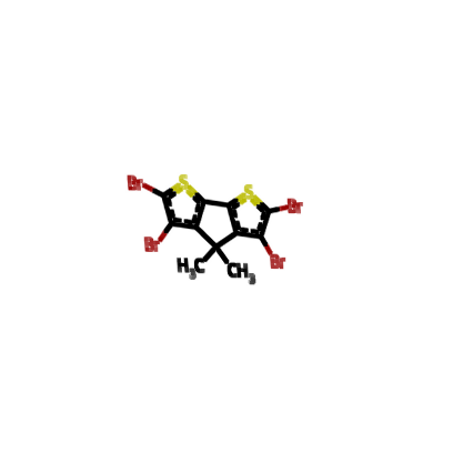 CC1(C)c2c(sc(Br)c2Br)-c2sc(Br)c(Br)c21